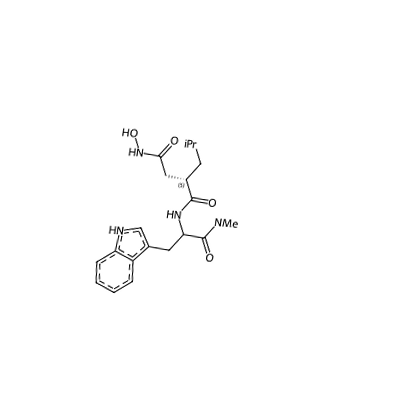 CNC(=O)C(Cc1c[nH]c2ccccc12)NC(=O)[C@H](CC(=O)NO)CC(C)C